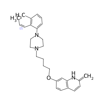 C=C1C=Cc2ccc(OCCCCN3CCN(c4cccc(C)c4/C=C\C)CC3)cc2N1